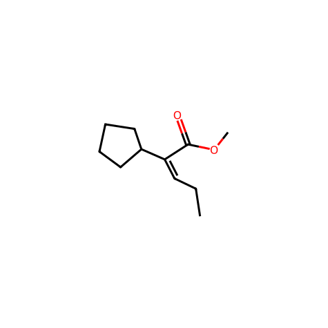 CCC=C(C(=O)OC)C1CCCC1